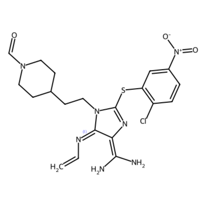 C=C/N=C1\C(=C(N)N)N=C(Sc2cc([N+](=O)[O-])ccc2Cl)N1CCC1CCN(C=O)CC1